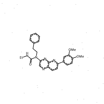 CCNC(=O)N(CCc1ccccc1)c1cnc2ccc(-c3ccc(OC)c(OC)c3)nc2n1